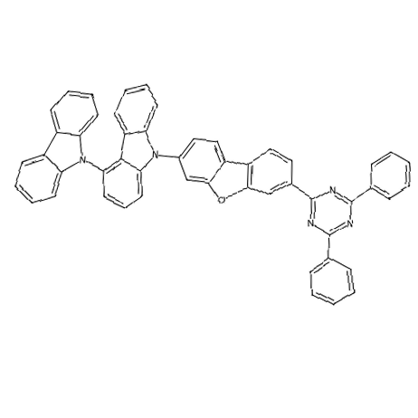 c1ccc(-c2nc(-c3ccccc3)nc(-c3ccc4c(c3)oc3cc(-n5c6ccccc6c6c(-n7c8ccccc8c8ccccc87)cccc65)ccc34)n2)cc1